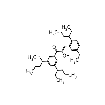 CCCC(CC)c1cc(C(=O)C(O)=Cc2cc(CC)ccc2C(CC)CCC)cc(C(CC)CCC)c1